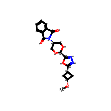 O=C1c2ccccc2C(=O)N1[C@H]1CO[C@H](c2nnc([C@H]3C[C@@H](OC(F)(F)F)C3)o2)OC1